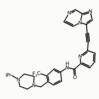 CC(C)N1CCN(Cc2ccc(NC(=O)c3cccc(C#Cc4cnc5cnccn45)n3)cc2C(F)(F)F)CC1